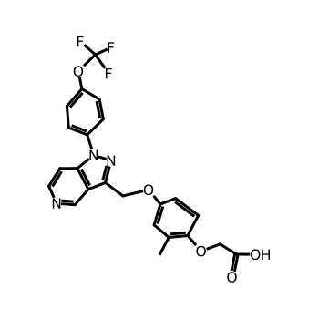 Cc1cc(OCc2nn(-c3ccc(OC(F)(F)F)cc3)c3ccncc23)ccc1OCC(=O)O